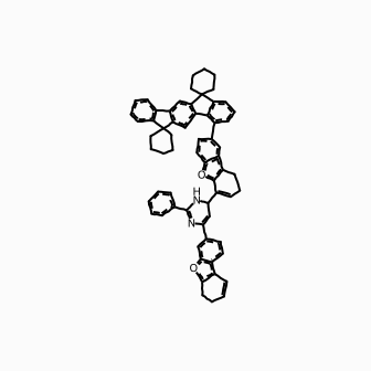 C1=Cc2c(oc3cc(C4=CC(C5=CCCc6c5oc5ccc(-c7cccc8c7-c7cc9c(cc7C87CCCCC7)-c7ccccc7C97CCCCC7)cc65)NC(c5ccccc5)=N4)ccc23)CC1